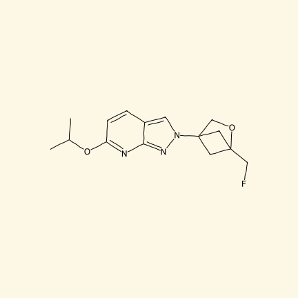 CC(C)Oc1ccc2cn(C34COC(CF)(C3)C4)nc2n1